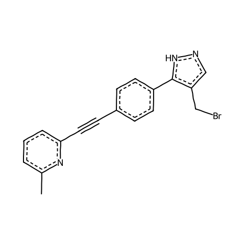 Cc1cccc(C#Cc2ccc(-c3[nH]ncc3CBr)cc2)n1